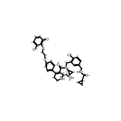 O=C(NCc1ccc(Cl)c(CN(C(=O)C2=C(c3ccc(OCCOc4c(Cl)cccc4Cl)cc3)CCN[C@@H]2CO)C2CC2)c1)C1CC1